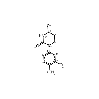 Cc1ccc(N2CCC(=O)NC2=O)cc1O